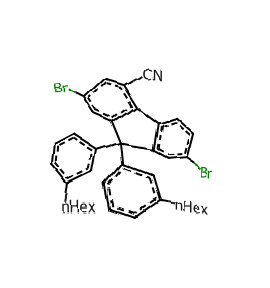 CCCCCCc1cccc(C2(c3cccc(CCCCCC)c3)c3cc(Br)ccc3-c3c(C#N)cc(Br)cc32)c1